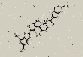 Cc1c(NC(=O)c2nc3c(s2)CN(C)CC3)cccc1-c1cncc(-c2nc3cc(C=O)cc(C#N)c3o2)c1C